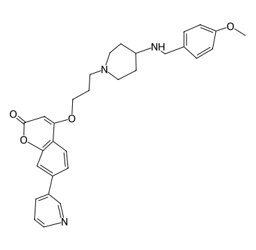 COc1ccc(CNC2CCN(CCCOc3cc(=O)oc4cc(-c5cccnc5)ccc34)CC2)cc1